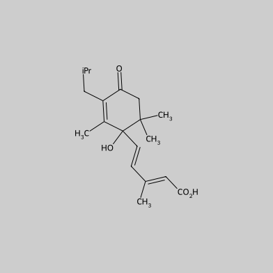 CC(C=CC1(O)C(C)=C(CC(C)C)C(=O)CC1(C)C)=CC(=O)O